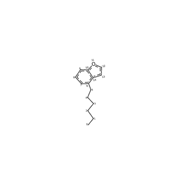 CCCCCCc1cccc2o[c]cc12